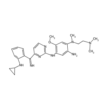 COc1cc(N(C)CCN(C)C)c(N)cc1Nc1nccc(C(=N)c2ccccc2NC2CC2)n1